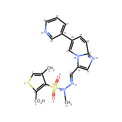 Cc1csc(C(=O)O)c1S(=O)(=O)N(C)N=Cc1cnc2ccc(-c3cccnc3)cn12